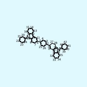 C1=C(c2ccc(-c3ccc4c(c3)c3ccccc3n4-c3ccccc3)cc2)CCc2c1c1ccccc1n2-c1ccccc1